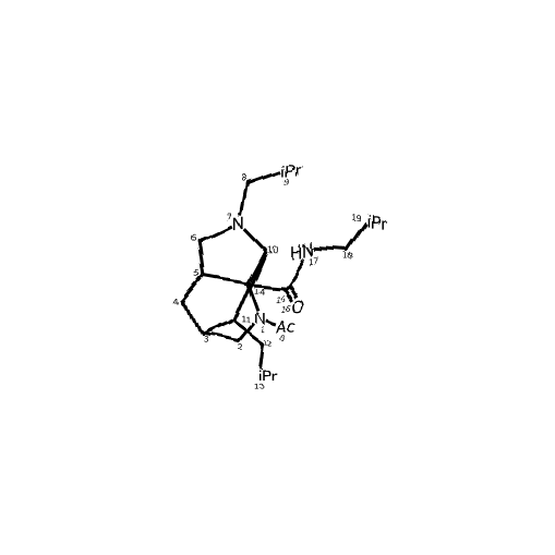 CC(=O)N1CC2CC3CN(CC(C)C)C(C2CC(C)C)C31C(=O)NCC(C)C